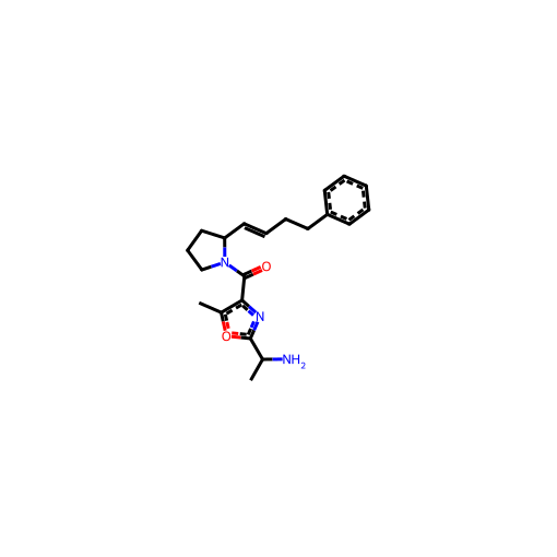 Cc1oc(C(C)N)nc1C(=O)N1CCCC1/C=C/CCc1ccccc1